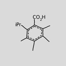 Cc1c(C)c(C)c(C(C)C)c(C(=O)O)c1C